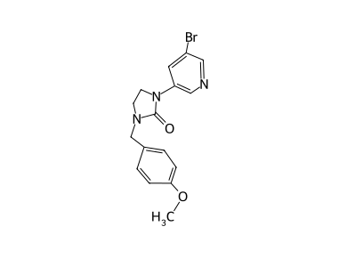 COc1ccc(CN2CCN(c3cncc(Br)c3)C2=O)cc1